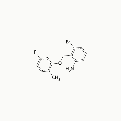 Cc1ccc(F)cc1OCc1c(N)cccc1Br